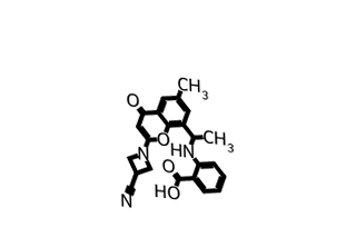 Cc1cc(C(C)Nc2ccccc2C(=O)O)c2oc(N3CC(C#N)C3)cc(=O)c2c1